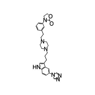 O=C1OCCN1c1cccc(CCN2CCN(CCCc3c[nH]c4ccc(-n5cnnc5)cc34)CC2)c1